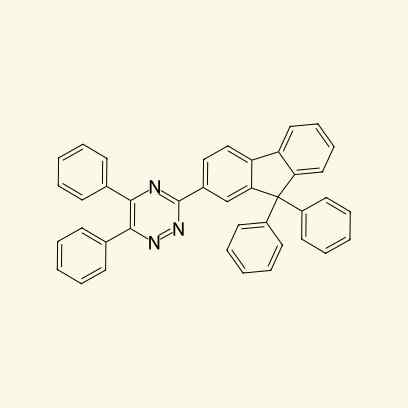 c1ccc(-c2nnc(-c3ccc4c(c3)C(c3ccccc3)(c3ccccc3)c3ccccc3-4)nc2-c2ccccc2)cc1